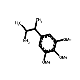 COc1cc(C(C)C(C)N)cc(OC)c1OC